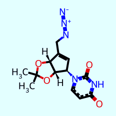 CC1(C)O[C@@H]2[C@H](O1)C(CN=[N+]=[N-])=C[C@H]2n1ccc(=O)[nH]c1=O